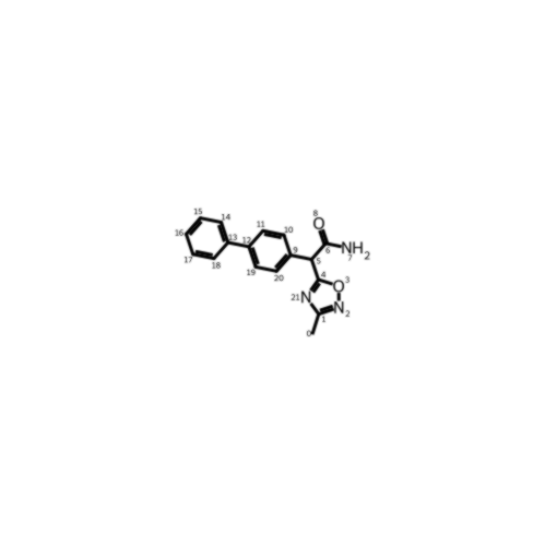 Cc1noc(C(C(N)=O)c2ccc(-c3ccccc3)cc2)n1